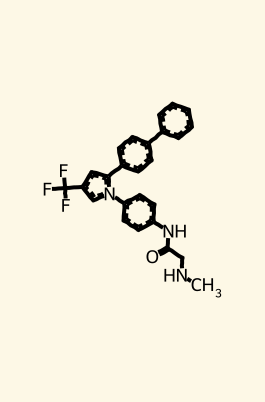 CNCC(=O)Nc1ccc(-n2cc(C(F)(F)F)cc2-c2ccc(-c3ccccc3)cc2)cc1